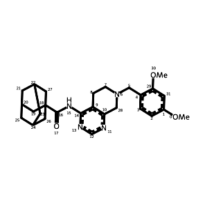 COc1ccc(CN2CCc3c(ncnc3NC(=O)C34CC5CC(CC(C5)C3)C4)C2)c(OC)c1